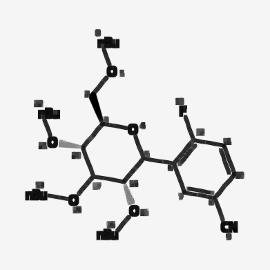 CCCCOC[C@H]1OC(c2cc(C#N)ccc2F)[C@H](OCCCC)C(OCCCC)[C@@H]1OCCCC